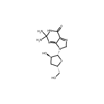 NC1(N)N=C2C(=NCN2[C@@H]2O[C@H](CO)C[C@H]2O)C(=O)N1